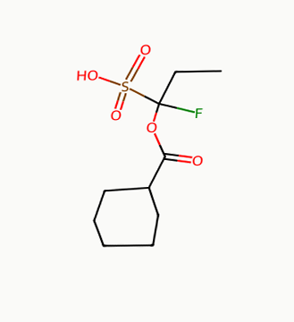 CCC(F)(OC(=O)C1CCCCC1)S(=O)(=O)O